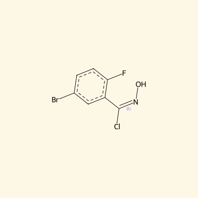 O/N=C(/Cl)c1cc(Br)ccc1F